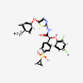 Cc1cc(Oc2cnc(NC(=O)C(Oc3ccc(F)cc3F)c3ccc(S(=O)(=O)C4CC4)cc3)s2)ccc1C(=O)O